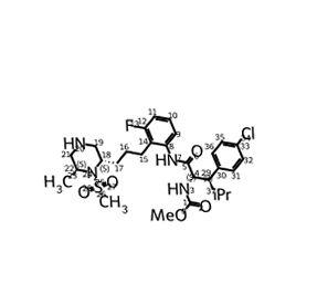 COC(=O)N[C@H](C(=O)Nc1cccc(F)c1CCC[C@H]1CNC[C@H](C)N1S(C)(=O)=O)[C@@H](c1ccc(Cl)cc1)C(C)C